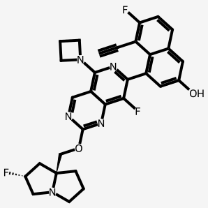 C#Cc1c(F)ccc2cc(O)cc(-c3nc(N4CCC4)c4cnc(OC[C@@]56CCCN5C[C@H](F)C6)nc4c3F)c12